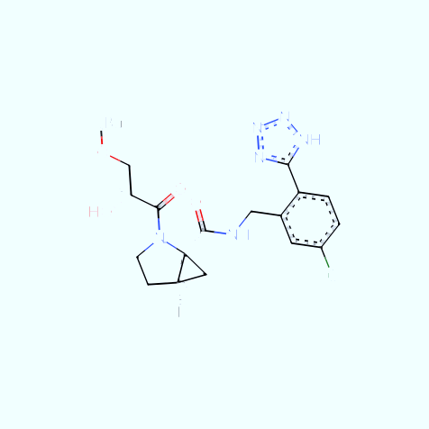 CC(C)(C)OC[C@@H](O)C(=O)N1CC[C@@H]2C[C@@]21C(=O)NCc1cc(Cl)ccc1-c1nnn[nH]1